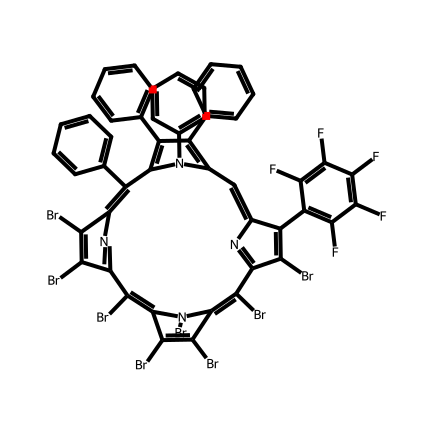 Fc1c(F)c(F)c(C2=C(Br)c3nc2cc2c(-c4ccccc4)c(-c4ccccc4)c(c(-c4ccccc4)c4nc(c(Br)c5c(Br)c(Br)c(c3Br)n5Br)C(Br)=C4Br)n2-c2ccccc2)c(F)c1F